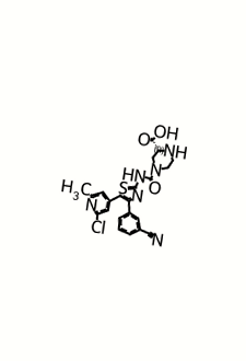 Cc1cc(-c2sc(NC(=O)N3CCN[C@@H](C(=O)O)C3)nc2-c2cccc(C#N)c2)cc(Cl)n1